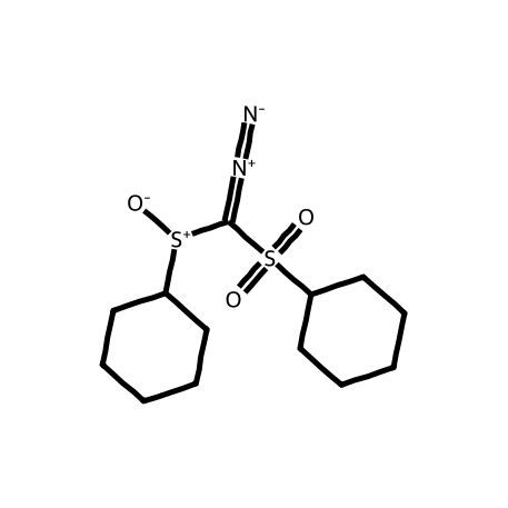 [N-]=[N+]=C([S+]([O-])C1CCCCC1)S(=O)(=O)C1CCCCC1